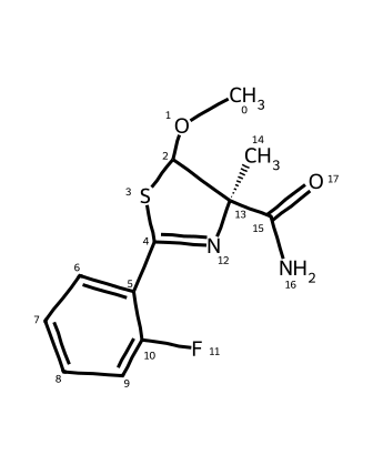 COC1SC(c2ccccc2F)=N[C@]1(C)C(N)=O